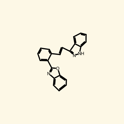 C(=C\c1n[nH]c2ccccc12)/c1ccccc1-c1nc2ccccc2o1